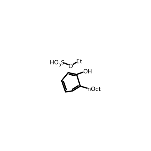 CCCCCCCCc1ccccc1O.CCOS(=O)(=O)O